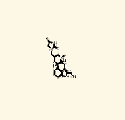 CN1CC(CN2CC(=O)NC2=O)C[C@@H]2c3cccc4[nH]c(CS)c(c34)C[C@H]21